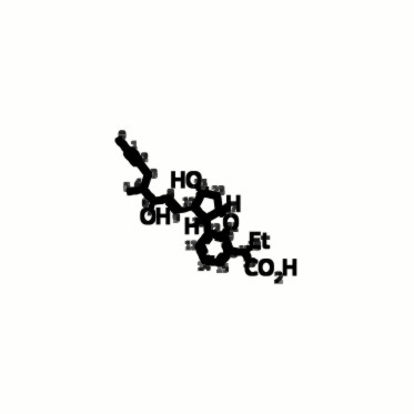 CC#CCC(C)[C@H](O)C=C[C@@H]1[C@H]2c3cccc([C@@H](CC)C(=O)O)c3O[C@H]2C[C@H]1O